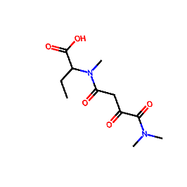 CCC(C(=O)O)N(C)C(=O)CC(=O)C(=O)N(C)C